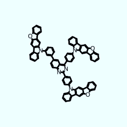 c1cc(-c2ccc3nc(-c4ccc(-n5c6ccccc6c6cc7oc8ccccc8c7cc65)cc4)nc(-c4ccc(-n5c6ccccc6c6cc7oc8ccccc8c7cc65)cc4)c3c2)cc(-n2c3ccccc3c3cc4oc5ccccc5c4cc32)c1